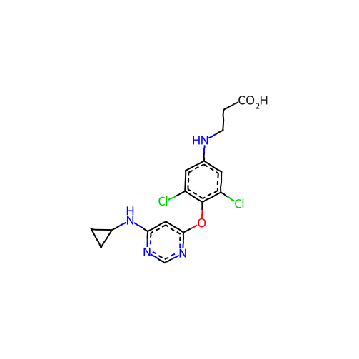 O=C(O)CCNc1cc(Cl)c(Oc2cc(NC3CC3)ncn2)c(Cl)c1